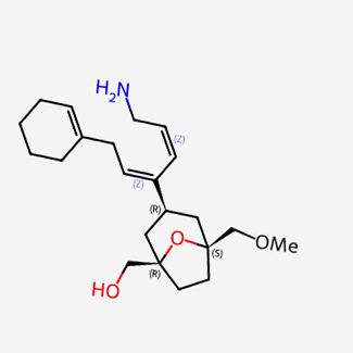 COC[C@]12CC[C@](CO)(C[C@@H](C(/C=C\CN)=C/CC3=CCCCC3)C1)O2